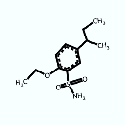 CCOc1ccc(C(C)CC)cc1S(N)(=O)=O